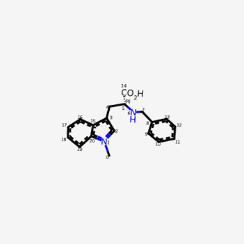 Cn1cc(C[C@@H](NCc2ccccc2)C(=O)O)c2ccccc21